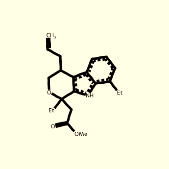 C=CCC1COC(CC)(CC(=O)OC)c2[nH]c3c(CC)cccc3c21